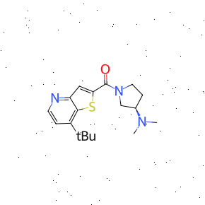 CN(C)[C@@H]1CCN(C(=O)c2cc3nccc(C(C)(C)C)c3s2)C1